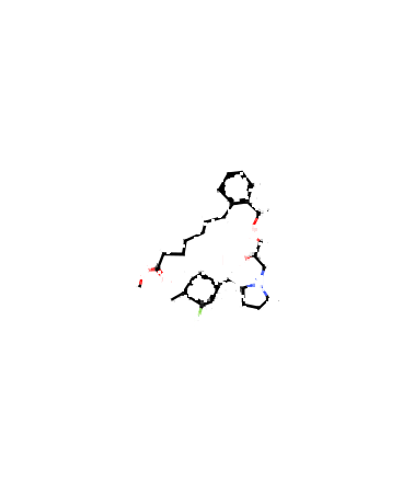 COC(=O)CCCCCCc1ccccc1[C@@H](C)OC[C@H](O)CN1CCC[C@H]1Cc1ccc(C)c(F)c1